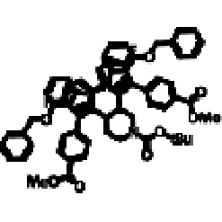 COC(=O)c1ccc(-c2c(C3CCN(C(=O)OC(C)(C)C)CC3c3c(-c4ccc(C(=O)OC)cc4)c4c(OCc5ccccc5)cccc4n3-c3ccc(F)cc3)n(-c3ccc(F)cc3)c3cccc(OCc4ccccc4)c23)cc1